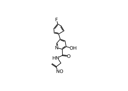 C=C(CNC(=O)c1ncc(-c2ccc(F)cc2)cc1O)N=O